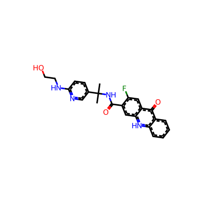 CC(C)(NC(=O)c1cc2[nH]c3ccccc3c(=O)c2cc1F)c1ccc(NCCO)nc1